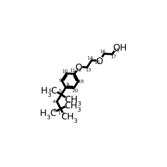 CC(C)(C)CC(C)(C)c1ccc(OCCOCCO)cc1